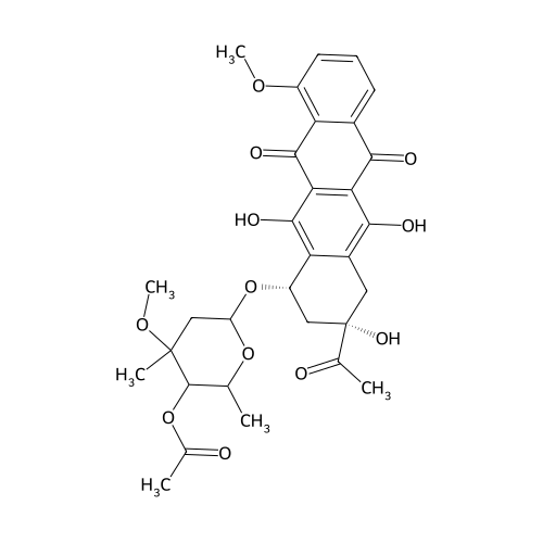 COc1cccc2c1C(=O)c1c(O)c3c(c(O)c1C2=O)C[C@@](O)(C(C)=O)C[C@@H]3OC1CC(C)(OC)C(OC(C)=O)C(C)O1